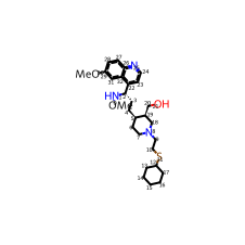 CON[C@@H](CC[C@@H]1CCN(CCSC2CCCCC2)C[C@@H]1CO)c1ccnc2ccc(OC)cc12